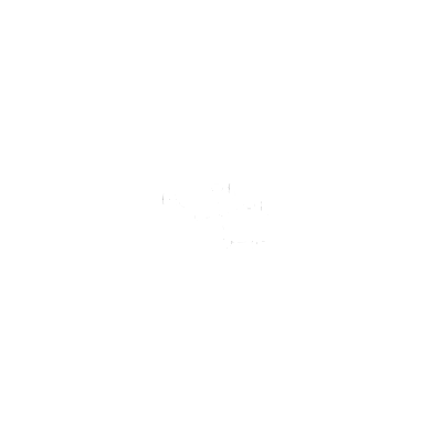 CC(C)OC(C)([SiH3])SS